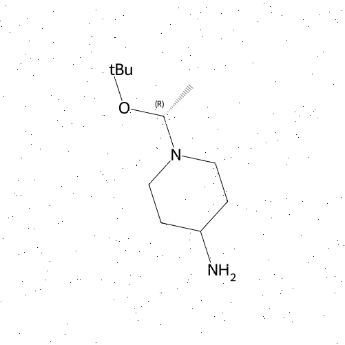 C[C@@H](OC(C)(C)C)N1CCC(N)CC1